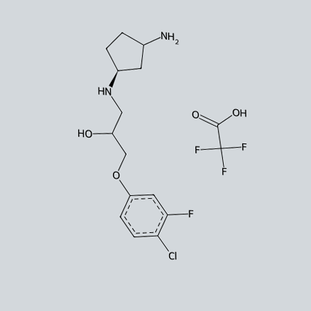 NC1CC[C@H](NCC(O)COc2ccc(Cl)c(F)c2)C1.O=C(O)C(F)(F)F